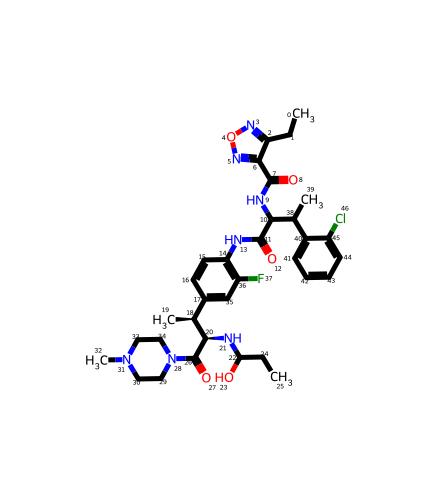 CCc1nonc1C(=O)NC(C(=O)Nc1ccc([C@H](C)[C@@H](NC(O)CC)C(=O)N2CCN(C)CC2)cc1F)C(C)c1ccccc1Cl